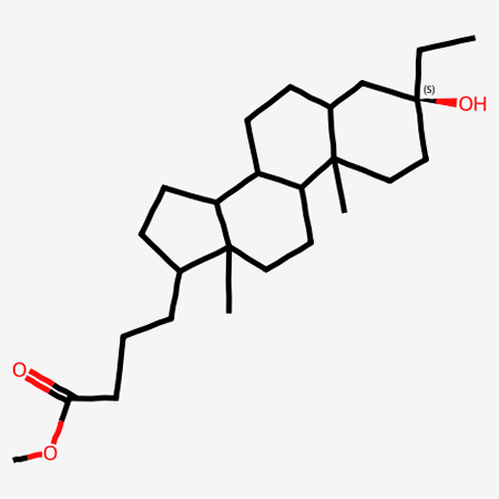 CC[C@]1(O)CCC2(C)C(CCC3C4CCC(CCCC(=O)OC)C4(C)CCC32)C1